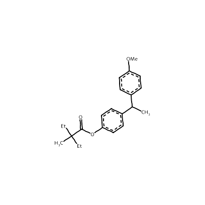 CCC(C)(CC)C(=O)Oc1ccc(C(C)c2ccc(OC)cc2)cc1